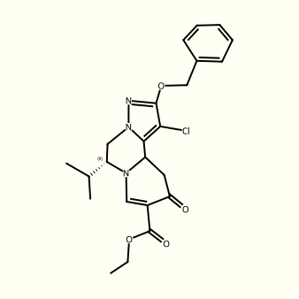 CCOC(=O)C1=CN2C(CC1=O)c1c(Cl)c(OCc3ccccc3)nn1C[C@H]2C(C)C